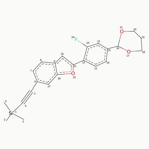 C[Si](C)(C)C#Cc1ccc2cc(-c3ccc(C4OCCCO4)cc3F)oc2c1